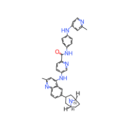 Cc1cc(Nc2ccc(NC(=O)c3ccc(Nc4cc(C)nc5ccc(C6C[C@H]7CC[C@@H](C6)N7C)cc45)cn3)cc2)ccn1